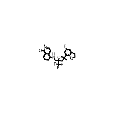 Cn1ccc2c(NCC(O)(CC(C)(C)c3cc(F)cc4c3OCC4)C(F)(F)F)cccc2c1=O